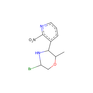 CC1OCC(Br)NC1c1cccnc1[N+](=O)[O-]